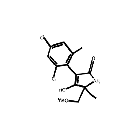 COCC1(C)NC(=O)C(c2c(C)cc(Cl)cc2Cl)=C1O